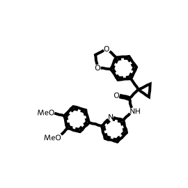 COc1ccc(-c2cccc(NC(=O)C3(c4ccc5c(c4)OCO5)CC3)n2)cc1OC